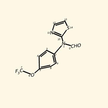 O=CN(c1ccc(OC(F)(F)F)cc1)c1nccs1